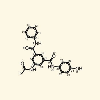 CC(=O)Nc1cc(C(=O)Nc2ccccc2)cc(C(=O)Nc2ccc(O)cc2)c1